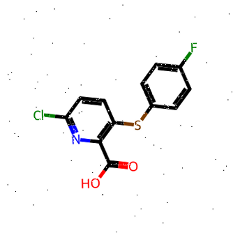 O=C(O)c1nc(Cl)ccc1Sc1ccc(F)cc1